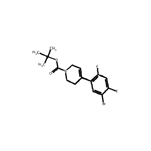 CC(C)(C)OC(=O)N1CC=C(c2cc(Br)c(F)cc2F)CC1